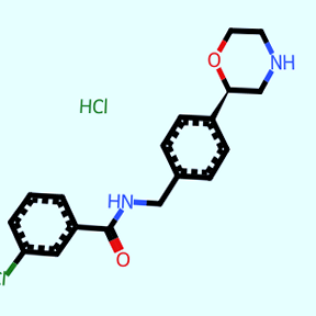 Cl.O=C(NCc1ccc([C@@H]2CNCCO2)cc1)c1cccc(Cl)c1